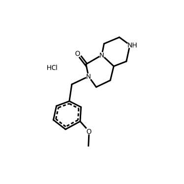 COc1cccc(CN2CCC3CNCCN3C2=O)c1.Cl